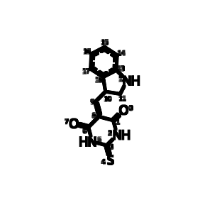 O=C1NC(=S)NC(=O)C1=CC1CNc2ccccc21